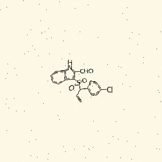 C=CC(c1ccc(Cl)cc1)S(=O)(=O)c1c(C=O)[nH]c2ccccc12